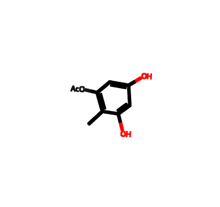 CC(=O)Oc1cc(O)cc(O)c1C